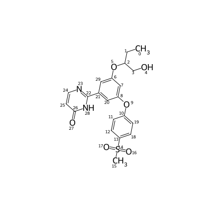 CCC(CO)Oc1cc(Oc2ccc(S(C)(=O)=O)cc2)cc(-c2nccc(=O)[nH]2)c1